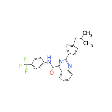 CC(C)Cc1ccc(-c2nc(C(=O)Nc3ccc(C(F)(F)F)cc3)c3ccccc3n2)cc1